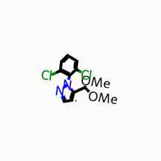 COC(OC)c1[c]cnn1-c1c(Cl)cccc1Cl